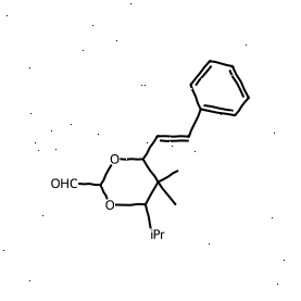 CC(C)C1OC(C=O)OC(C=Cc2ccccc2)C1(C)C